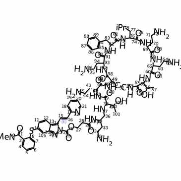 CNC(=O)c1ccccc1Sc1ccc2c(/C=C/c3ccccn3)n(C(=O)OCCC(=O)N[C@H](CCN)CNC(C(=O)N[C@H](CCN)C(=O)N[C@@H]3CCNC(=O)C(C(C)O)NC(=O)C(CCN)NC(=O)C(CCN)NC(=O)C(CC(C)C)NC(=O)C(Cc4ccccc4)NC(=O)C(CCN)NC3=O)[C@H](C)O)nc2c1